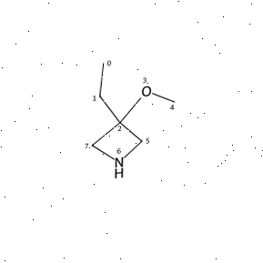 CCC1(OC)CNC1